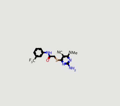 CNc1nc(N)nc(SCC(=O)Nc2cccc(C(F)(F)F)c2)c1C#N